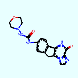 O=C(Nc1ccc2c(c1)Cc1c-2[nH]c(=O)c2nccn12)NN1CCOCC1